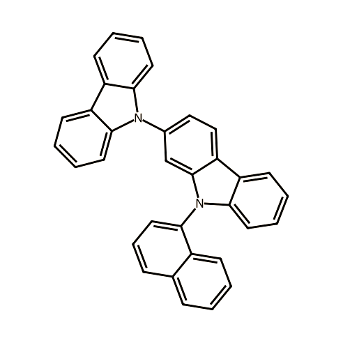 c1ccc2c(-n3c4ccccc4c4ccc(-n5c6ccccc6c6ccccc65)cc43)cccc2c1